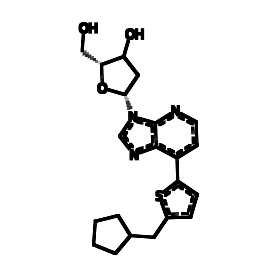 OC[C@H]1O[C@@H](n2cnc3c(-c4ccc(CC5CCCC5)s4)ccnc32)CC1O